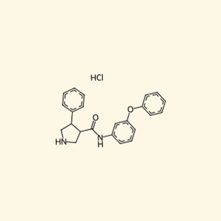 Cl.O=C(Nc1cccc(Oc2ccccc2)c1)C1CNCC1c1ccccc1